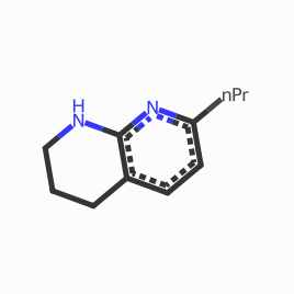 [CH2]CCc1ccc2c(n1)NCCC2